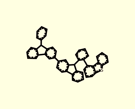 c1ccc(C2c3ccccc3-c3cc(-c4ccc5c(c4)C(c4ccccc4-c4cccc6sc7ccccc7c46)c4ccccc4-5)ccc32)cc1